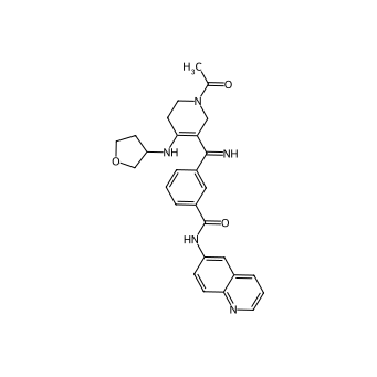 CC(=O)N1CCC(NC2CCOC2)=C(C(=N)c2cccc(C(=O)Nc3ccc4ncccc4c3)c2)C1